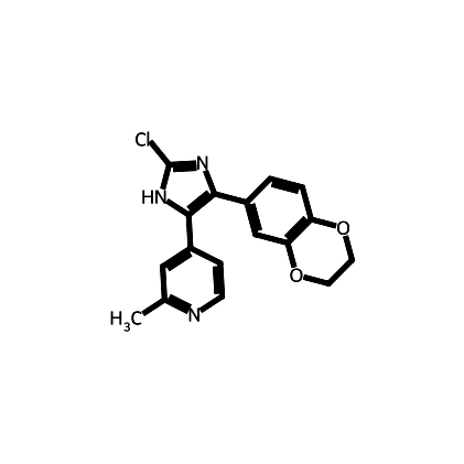 Cc1cc(-c2[nH]c(Cl)nc2-c2ccc3c(c2)OCCO3)ccn1